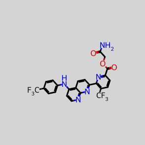 NC(=O)COC(=O)c1ccc(C(F)(F)F)c(-c2ccc3c(Nc4ccc(C(F)(F)F)cc4)ccnc3n2)n1